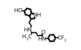 CC(CCC(=O)Nc1ccc(C(F)(F)F)cc1)NCCc1c[nH]c2ccc(O)cc12